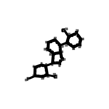 Fc1ccc(-c2noc3c(-c4cncnc4Cl)ccnc23)c(Cl)c1